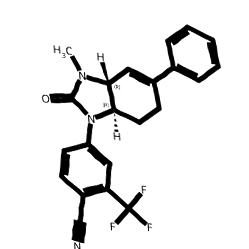 CN1C(=O)N(c2ccc(C#N)c(C(F)(F)F)c2)[C@@H]2CCC(c3ccccc3)=C[C@H]21